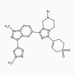 CC(=O)N1CCn2c(C3=CCS(=O)(=O)CC3)nc(-c3ccc4c(c3)c(-c3cnn(C)c3)nn4C)c2C1